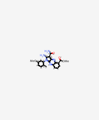 COC(=O)c1cccc2nc3c(nc12)c(C(N)=O)c(N)n3-c1cc(OC)ccc1C